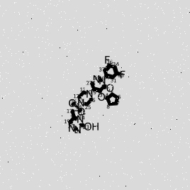 O=c1c(OC2CCCC2)c(N2CCN(S(=O)(=O)Cc3cnnc(O)n3)CC2)cnn1-c1cc(F)cc(F)c1